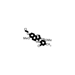 COc1cc(Nc2c(C#N)cnc3c2ccc2c(OC)c(OCCCl)ccc23)c(Cl)cc1C